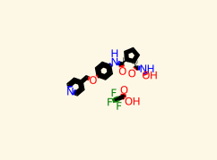 O=C(NO)[C@H]1CCC[C@@H]1C(=O)Nc1ccc(OCc2ccncc2)cc1.O=C(O)C(F)(F)F